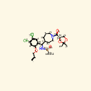 C=CCOc1cc(Cl)c(Cl)cc1C(N[S@@+]([O-])C(C)(C)C)C1CCCN(C(=O)[C@H]2COC(C)(C)O2)CC1